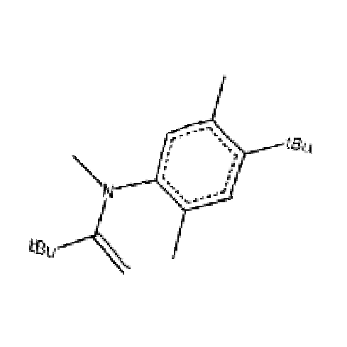 C=C(N(C)c1cc(C)c(C(C)(C)C)cc1C)C(C)(C)C